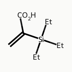 C=C(C(=O)O)[Si](CC)(CC)CC